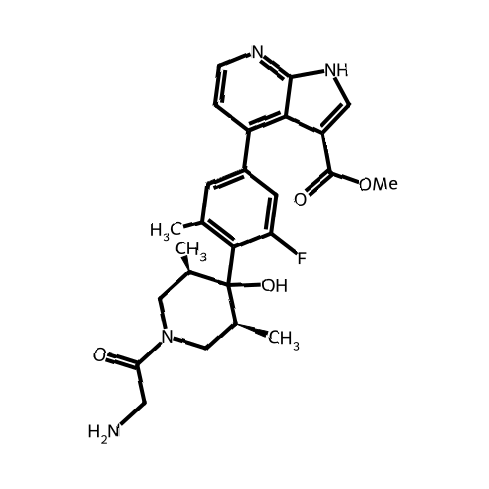 COC(=O)c1c[nH]c2nccc(-c3cc(C)c(C4(O)[C@H](C)CN(C(=O)CN)C[C@@H]4C)c(F)c3)c12